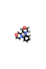 c1ccc(N2CCOCC2)c(N2CCOCC2)c1